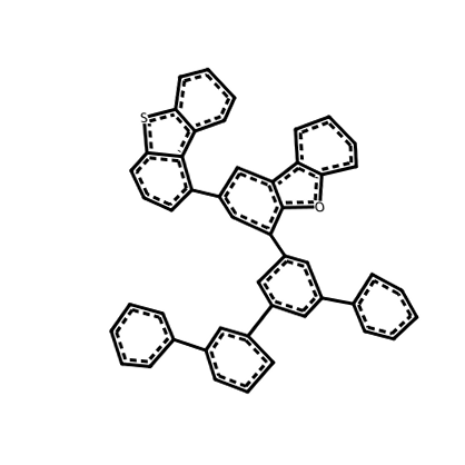 c1ccc(-c2cccc(-c3cc(-c4ccccc4)cc(-c4cc(-c5cccc6sc7ccccc7c56)cc5c4oc4ccccc45)c3)c2)cc1